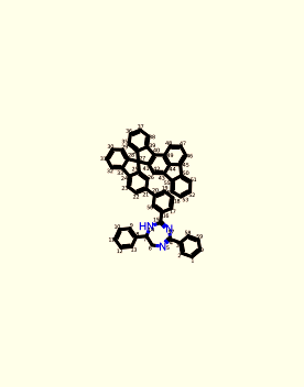 c1ccc(C2=NCC(c3ccccc3)NC(c3cccc(-c4ccc5c(c4)C4(c6ccccc6-5)c5ccccc5-c5c4cc4c6c(cccc56)-c5ccccc5-4)c3)=N2)cc1